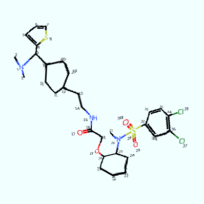 CN(C)C(c1cccs1)C1CCC(CCNC(=O)COC2CCCCC2N(C)S(=O)(=O)c2ccc(Cl)c(Cl)c2)CC1